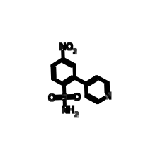 NS(=O)(=O)c1ccc([N+](=O)[O-])cc1-c1ccncc1